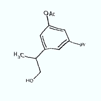 C[C](CO)c1cc(OC(C)=O)cc(C(C)C)c1